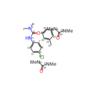 CN(C)C(=O)Nc1ccc(Cl)cc1.CNC(=O)NC.CNC(=O)NC.Cc1ccccc1